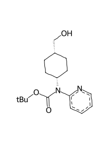 CC(C)(C)OC(=O)N(c1ccccn1)[C@H]1CC[C@@H](CO)CC1